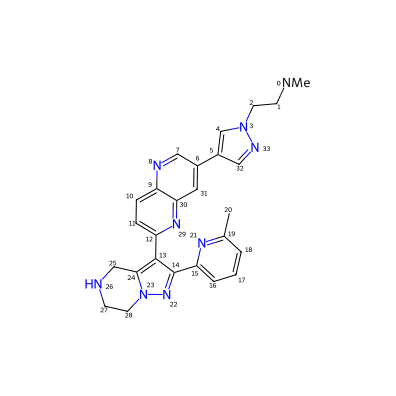 CNCCn1cc(-c2cnc3ccc(-c4c(-c5cccc(C)n5)nn5c4CNCC5)nc3c2)cn1